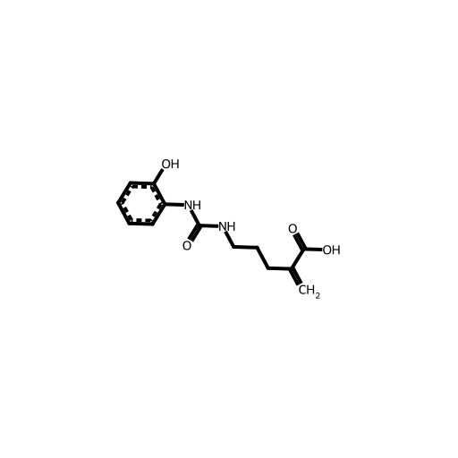 C=C(CCCNC(=O)Nc1ccccc1O)C(=O)O